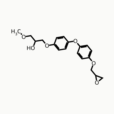 COCC(O)COc1ccc(Oc2ccc(OCC3CO3)cc2)cc1